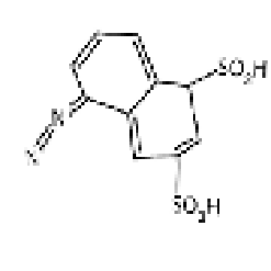 [N-]=[N+]=C1C=CC=C2C1=CC(S(=O)(=O)O)=CC2S(=O)(=O)O